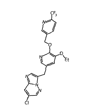 CCOc1cc(Cc2cnc3cc(Cl)cnn23)cnc1OCc1ccc(C(F)(F)F)nc1